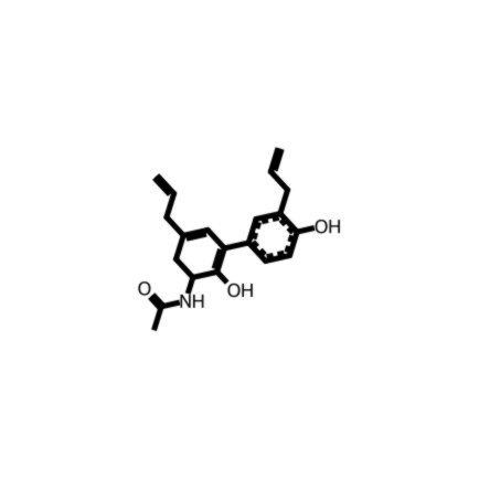 C=CCC1=CC(c2ccc(O)c(CC=C)c2)=C(O)C(NC(C)=O)C1